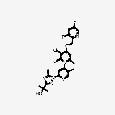 Cc1cnc(-n2nc(C(C)(C)O)nc2C)cc1-n1c(C)cc(OCc2ncc(F)cc2F)c(Cl)c1=O